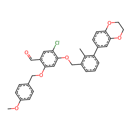 COc1ccc(COc2cc(OCc3cccc(-c4ccc5c(c4)OCCO5)c3C)c(Cl)cc2C=O)cc1